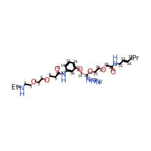 CCNCCOCCOCCC(=O)Nc1cccc(OC[C@@H](N=[N+]=[N-])OCCOCC(=O)NC/C=C/C(C)C)c1